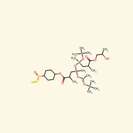 CC(O)COC(=O)C(C)C[Si](C)(O[Si](C)(C)C)O[Si](C)(CC(C)C(=O)OC1CCC(P(=O)=S=S)CC1)O[SiH](C)O[Si](C)(C)C